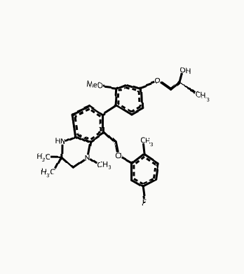 COc1cc(OC[C@H](C)O)ccc1-c1ccc2c(c1COc1cc(F)ccc1C)N(C)CC(C)(C)N2